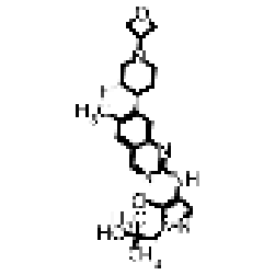 Cc1cc2cnc(Nc3cnn(CC(C)(C)O)c3Cl)nc2cc1[C@@H]1CCN(C2COC2)C[C@H]1F